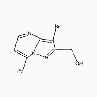 CC(C)c1ccnc2c(Br)c(CO)nn12